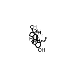 C#C[C@@]1(O)CC[C@H]2[C@@H]3CCC4CC(O)CC(CCF)[C@@H]4[C@H]3CC[C@@]21C